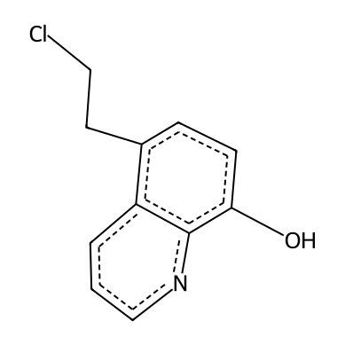 Oc1ccc(CCCl)c2cccnc12